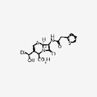 CCC(O)C1=CS[C@H]2C(NC(=O)Cc3cccs3)C(=O)N2C1C(=O)O